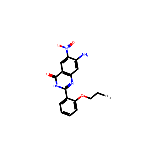 CCCOc1ccccc1-c1nc2cc(N)c([N+](=O)[O-])cc2c(=O)[nH]1